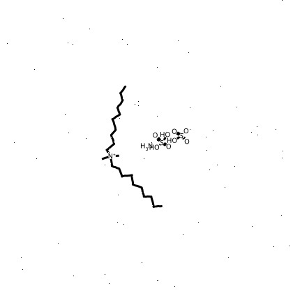 CCCCCCCCCC[N+](C)(C)CCCCCCCCCC.N.O=S(=O)(O)O.O=S(=O)([O-])O